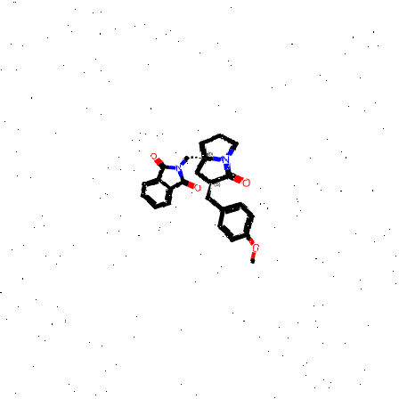 COc1ccc(C[C@H]2C[C@@]3(CN4C(=O)c5ccccc5C4=O)CCCN3C2=O)cc1